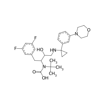 CC(C)(C)N(C(=O)O)C(Cc1cc(F)cc(F)c1)C(O)CNC1(c2cccc(N3CCOCC3)c2)CC1